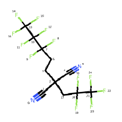 N#CC(C#N)(CCC(F)(F)C(F)(F)C(F)(F)F)CC(F)(F)C(F)(F)F